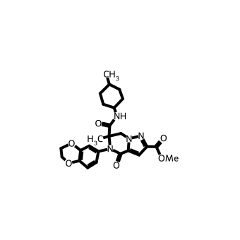 COC(=O)c1cc2n(n1)CC(C)(C(=O)NC1CCC(C)CC1)N(c1ccc3c(c1)OCCO3)C2=O